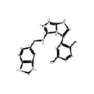 Cc1ccc(Cl)cc1-c1csc2nnc(SCc3ccc4c(c3)OCO4)n12